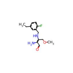 CCc1ccc(F)c(CN/C(COC)=C(\N)C=O)c1